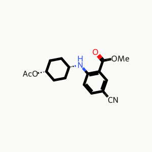 COC(=O)c1cc(C#N)ccc1N[C@H]1CC[C@@H](OC(C)=O)CC1